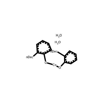 CCCCCCCCCCc1ccccc1[O][Co][O]c1ccccc1CCCCCCCCCC.O.O